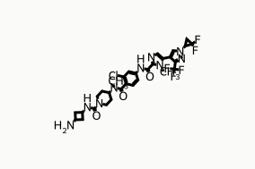 CN(C(=O)c1ccc(NC(=O)c2ncc(-c3cn(C4CC4(F)F)nc3C(F)(F)F)n2C)cc1Cl)C1CCN(C(=O)NC2CC(N)C2)CC1